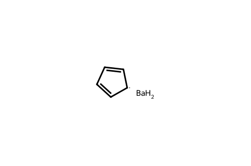 [BaH2].[CH]1C=CC=C1